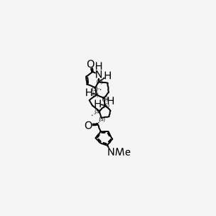 CNc1ccc(C(=O)[C@H]2CC[C@H]3[C@@H]4CC[C@H]5NC(=O)C=C[C@]5(C)[C@H]4CC[C@]23C)cc1